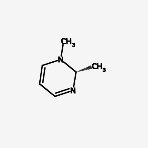 C[C@@H]1N=CC=CN1C